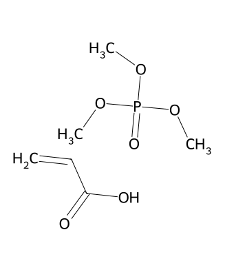 C=CC(=O)O.COP(=O)(OC)OC